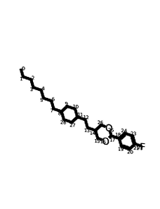 CCCCCCCCC1CCC(CCC2COC(c3ccc(F)cc3)OC2)CC1